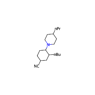 CCCCC1CC(C#N)CCC1N1CCC(CCC)CC1